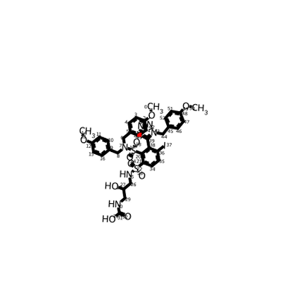 COc1ccc(CN(Cc2ccc(OC)cc2)S(=O)(=O)c2c(S(=O)(=O)NCC(O)CNC(=O)O)ccc(I)c2-c2nnnn2Cc2ccc(OC)cc2)cc1